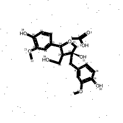 CC(=O)O.COc1cc(C[C@@]2(O)COC(c3ccc(O)c(OC)c3)C2CO)ccc1O